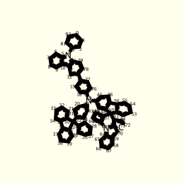 c1ccc(-n2c3ccccc3c3cc(-c4ccc(N(c5ccc(C6(c7ccccc7)c7ccccc7-c7ccccc76)cc5)c5ccc6c(c5)C5(c7ccccc7-6)c6ccccc6-n6c7ccccc7c7cccc5c76)cc4)ccc32)cc1